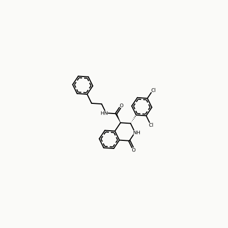 O=C1N[C@@H](c2ccc(Cl)cc2Cl)[C@H](C(=O)NCCc2ccccc2)c2ccccc21